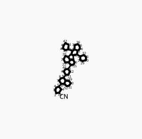 N#Cc1cccc(-c2ccc(-c3ccc(-c4ccc5c6c(cccc46)-c4c-5c(-c5ccccc5)c5ccccc5c4-c4ccccc4)cc3)c3ccccc23)c1